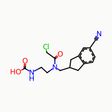 N#Cc1ccc2c(c1)CC(CN(CCNC(=O)O)C(=O)CCl)C2